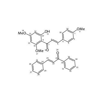 COc1ccc(C=CC(=O)c2c(O)cc(OC)cc2OC)cc1.O=C(C=Cc1ccccc1)c1ccccc1